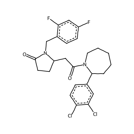 O=C1CCC(CC(=O)N2CCCCCC2c2ccc(Cl)c(Cl)c2)N1Cc1ccc(F)cc1F